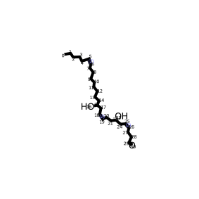 CCCCC/C=C\CCCCCCCCC(O)C/C=C\CCC(O)C/C=C\CCC=O